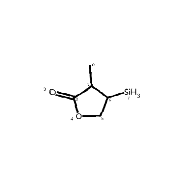 CC1C(=O)OCC1[SiH3]